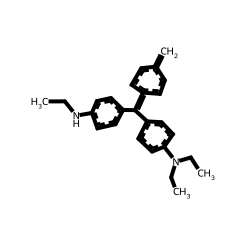 C=c1ccc(=C(c2ccc(NCC)cc2)c2ccc(N(CC)CC)cc2)cc1